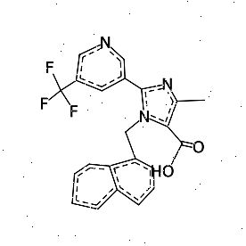 Cc1nc(-c2cncc(C(F)(F)F)c2)n(Cc2cccc3ccccc23)c1C(=O)O